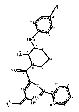 C=C(C/C(=N\C(C)=C/C)C(=O)N1CCC[C@@H](Nc2ncc(C(F)(F)F)cn2)[C@@H]1C)c1ncccn1